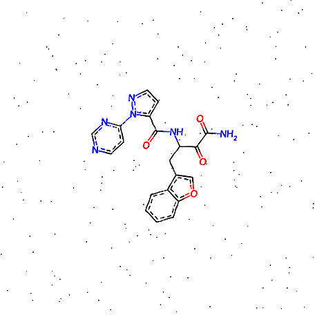 NC(=O)C(=O)C(Cc1coc2ccccc12)NC(=O)c1ccnn1-c1ccncn1